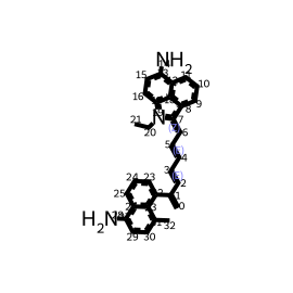 C=C(/C=C/C=C/C=c1/c2cccc3c(N)ccc(c32)n1CC)c1cccc2c(N)ccc(C)c12